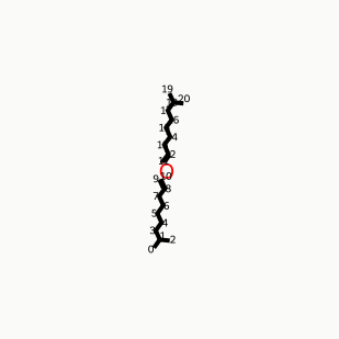 CC(C)CCCCCC=COC=CCCCCCC(C)C